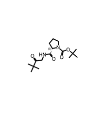 CC(C)(C)OC(=O)N1CCC[C@H]1C(=O)NCC(=O)C(C)(C)C